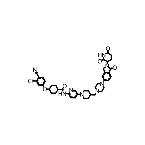 N#Cc1ccc(OC2CCC(C(=O)Nc3ccc(N4CCC(CN5CCN(c6ccc7c(c6)CN(C6CCC(=O)NC6=O)C7=O)CC5)CC4)cn3)CC2)cc1Cl